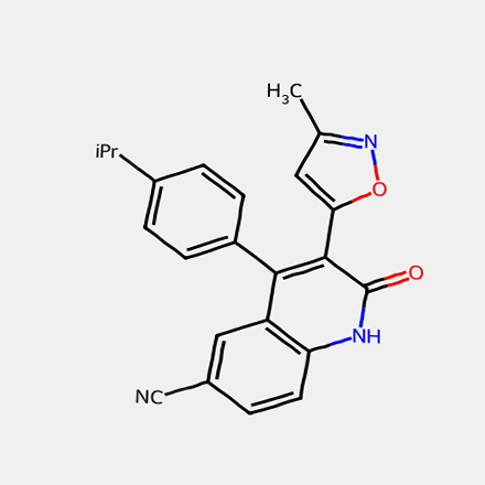 Cc1cc(-c2c(-c3ccc(C(C)C)cc3)c3cc(C#N)ccc3[nH]c2=O)on1